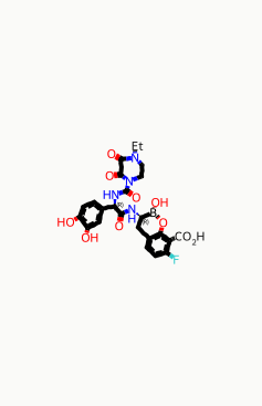 CCN1CCN(C(=O)N[C@@H](C(=O)N[C@H]2Cc3ccc(F)c(C(=O)O)c3OB2O)c2ccc(O)c(O)c2)C(=O)C1=O